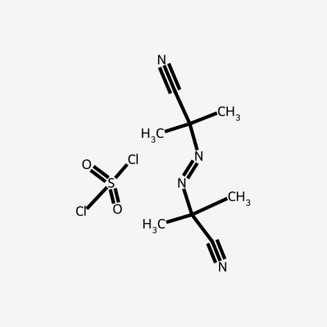 CC(C)(C#N)N=NC(C)(C)C#N.O=S(=O)(Cl)Cl